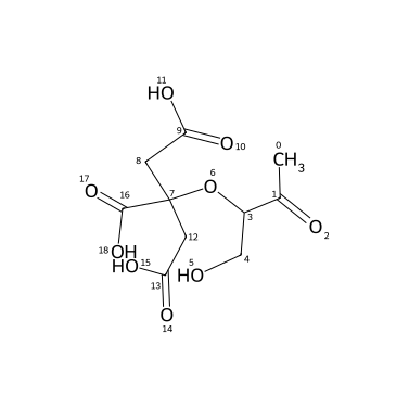 CC(=O)C(CO)OC(CC(=O)O)(CC(=O)O)C(=O)O